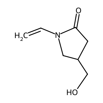 C=CN1CC(CO)CC1=O